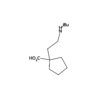 CCC(C)NCCC1(C(=O)O)CCCC1